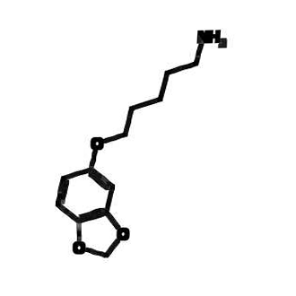 NCCCCCOc1ccc2c(c1)OCO2